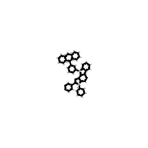 c1ccc(-c2cc3c(ccc4c5ccccc5n(-c5cccc(-c6c7ccccc7cc7ccccc67)c5)c43)n2-c2ccccc2)cc1